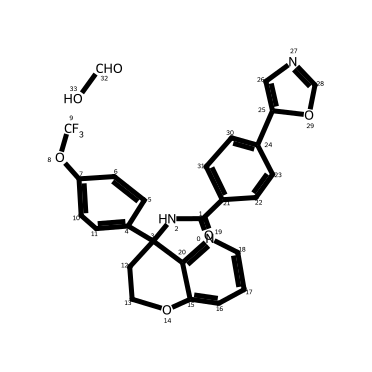 O=C(NC1(c2ccc(OC(F)(F)F)cc2)CCOc2cccnc21)c1ccc(-c2cnco2)cc1.O=CO